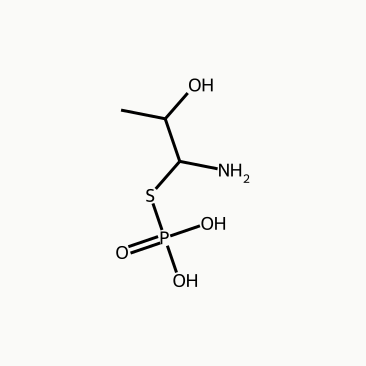 CC(O)C(N)SP(=O)(O)O